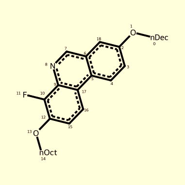 CCCCCCCCCCOc1ccc2c(cnc3c(F)c(OCCCCCCCC)ccc32)c1